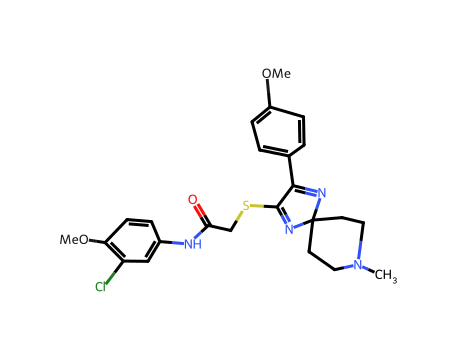 COc1ccc(C2=NC3(CCN(C)CC3)N=C2SCC(=O)Nc2ccc(OC)c(Cl)c2)cc1